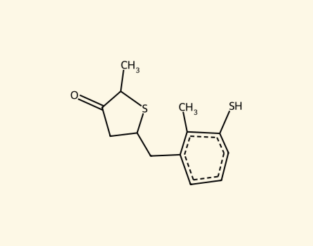 Cc1c(S)cccc1CC1CC(=O)C(C)S1